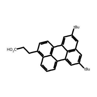 CC(C)(C)c1cc2cc(C(C)(C)C)cc3c4ccc(CCC(=O)O)c5cccc(c(c1)c23)c54